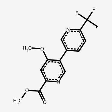 COC(=O)c1cc(OC)c(-c2ccc(C(F)(F)F)nc2)cn1